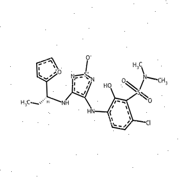 CC[C@@H](Nc1n[s+]([O-])nc1Nc1ccc(Cl)c(S(=O)(=O)N(C)C)c1O)c1ccco1